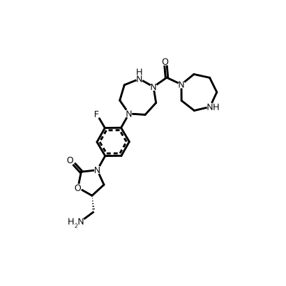 NC[C@H]1CN(c2ccc(N3CCNN(C(=O)N4CCCNCC4)CC3)c(F)c2)C(=O)O1